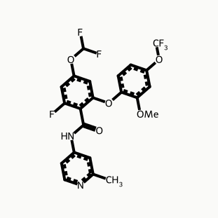 COc1cc(OC(F)(F)F)ccc1Oc1cc(OC(F)F)cc(F)c1C(=O)Nc1ccnc(C)c1